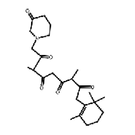 CC1=C(CC(=O)C(C)C(=O)CC(=O)C(C)C(=O)CN2CCCC(=O)C2)C(C)(C)CCC1